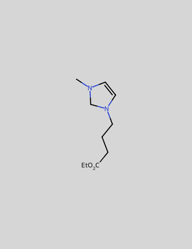 CCOC(=O)CCCN1C=CN(C)C1